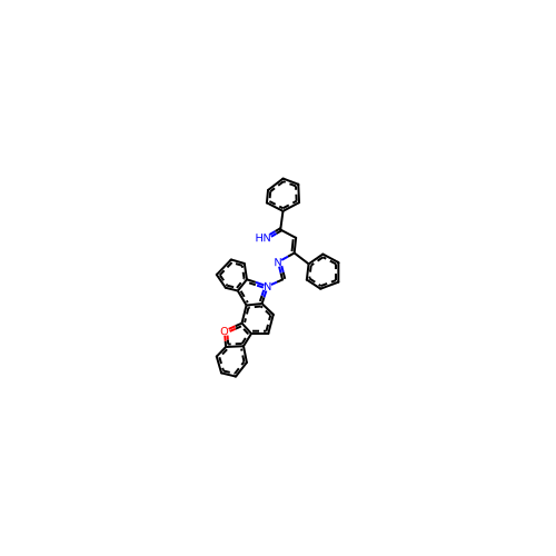 N=C(/C=C(\N=C\n1c2ccccc2c2c3oc4ccccc4c3ccc21)c1ccccc1)c1ccccc1